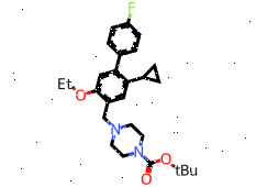 CCOc1cc(-c2ccc(F)cc2)c(C2CC2)cc1CN1CCN(C(=O)OC(C)(C)C)CC1